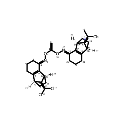 C=C(ON=C1CCCC2=C1[C@H]1CC[C@@H]2C1=C(Cl)Cl)ON=C1CCCC2=C1[C@H]1CC[C@@H]2/C1=C(/C)Cl